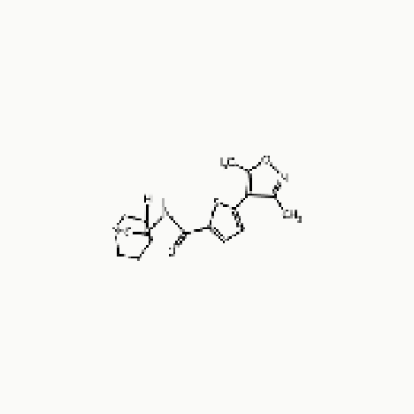 Cc1noc(C)c1-c1ccc(C(=O)N[C@H]2CN3CCC2CC3)s1